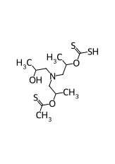 CC(=S)OC(C)CN(CC(C)O)CC(C)OC(=S)S